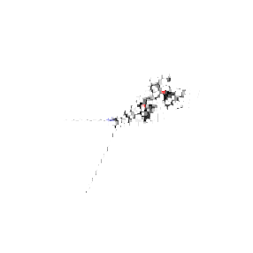 CCCCCCCCCCCCC/C=C/[C@@H](O)[C@H](CO[C@@H]1OC(CO)[C@@H](O[C@@H]2OC(CO)[C@H](O)[C@H](O[C@@H]3OC(CO)[C@@H](O[C@@H]4OC(CO[C@]5(C(=O)O)CC(O)[C@@H](O)C([C@H](O)[C@H](O)CO)O5)[C@H](O)[C@H](O)C4O)[C@H](O)C3NC(C)=O)C2O)[C@H](O)C1O)NC(=O)CCCCCCCCCCCCCCCCCCCCC